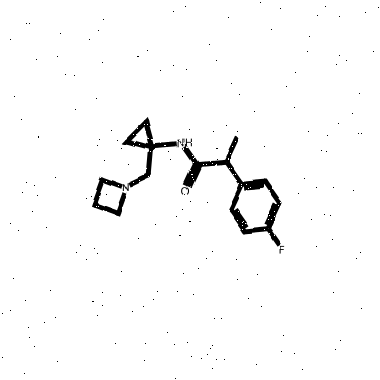 CC(C(=O)NC1(CN2CCC2)CC1)c1ccc(F)cc1